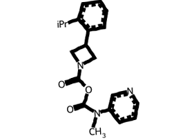 CC(C)c1ccccc1C1CN(C(=O)OC(=O)N(C)c2cccnc2)C1